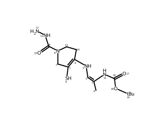 CC(=CNC1=C(S)CN(C(=O)NN)CC1)NC(=O)OC(C)(C)C